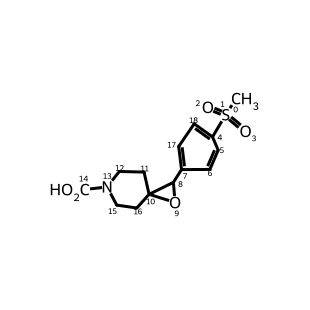 CS(=O)(=O)c1ccc(C2OC23CCN(C(=O)O)CC3)cc1